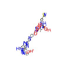 Cc1ncsc1-c1ccc(CNC(=O)[C@@H]2C[C@@H](O)CN2C(=O)C(c2cc(OC[C@H]3CC[C@H](N4CCC(c5cnc(C6CCc7[nH]c8nnc(-c9ccccc9O)cc8c7[C@H]6C)nc5)CC4)CC3)no2)C(C)C)cc1